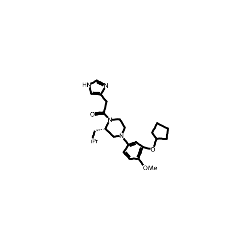 COc1ccc(N2CCN(C(=O)Cc3c[nH]cn3)[C@@H](CC(C)C)C2)cc1OC1CCCC1